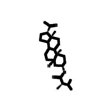 CC(=O)[C@H]1CCC2C3CC[C@H]4C[C@@H](OC(=O)[C@@H](C)C(C)C)CC[C@]4(C)C3CC[C@@]21C